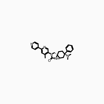 Cc1cc(-c2ccncc2)ncc1N1C[C@]2(CC[C@](c3ccccc3)(N(C)C)CC2)NC1=O